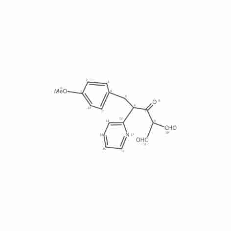 COc1ccc(CC(C(=O)C(C=O)C=O)c2ccccn2)cc1